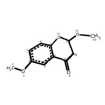 COc1ccc2c(c1)C(=O)CC(OC)O2